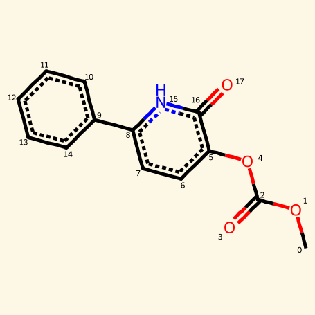 COC(=O)Oc1ccc(-c2ccccc2)[nH]c1=O